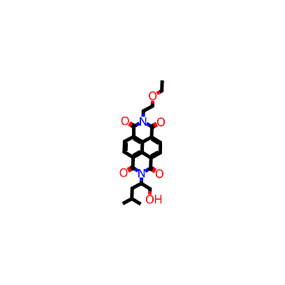 CCOCCN1C(=O)c2ccc3c4c(ccc(c24)C1=O)C(=O)N(C(CO)CC(C)C)C3=O